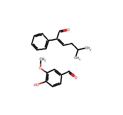 CC(C)CC=C(C=O)c1ccccc1.COc1cc(C=O)ccc1O